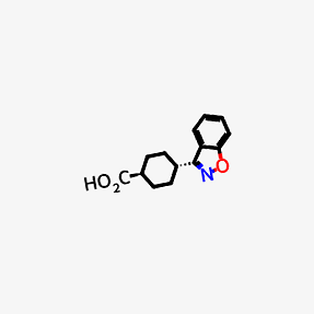 O=C(O)[C@H]1CC[C@H](c2noc3ccccc32)CC1